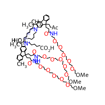 COCCOCCOCCOCCOCCOCCNC(=O)CCC1(CCC(C)=O)c2ccccc2-c2cc3c(cc21)N(CCCCCC(=O)O)\C(=C/C=C/C=C/C1=[N+](CCCCCC(=O)O)c2cc4c(cc2C1(C)C)-c1ccc(C)cc1C4(CCC(=O)NCCOCCOCCOCCOCCOCCOC)CCC(=O)NCCOCCOCCOCCOCCOCCOC)C3(C)C